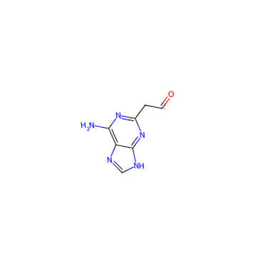 Nc1nc(C[C]=O)nc2[nH]cnc12